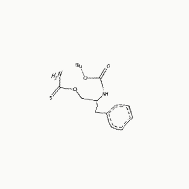 CC(C)(C)OC(=O)NC(COC(N)=S)Cc1ccccc1